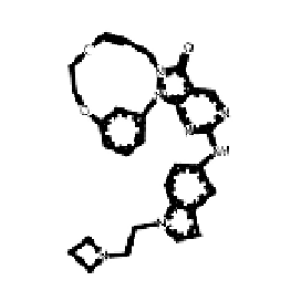 O=c1c2cnc(Nc3ccc4c(ccn4CCN4CCC4)c3)nc2n2n1C/C=C\CCCOc1cccc-2c1